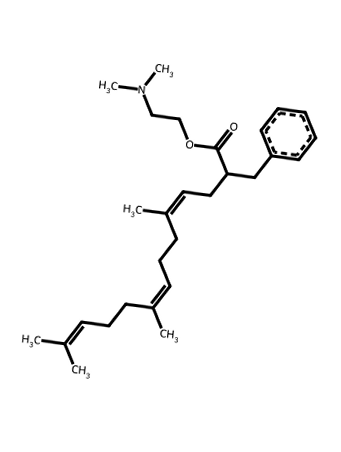 CC(C)=CCCC(C)=CCCC(C)=CCC(Cc1ccccc1)C(=O)OCCN(C)C